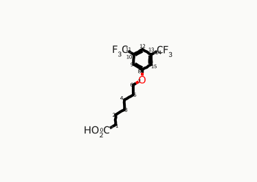 O=C(O)CCCCCCOc1cc(C(F)(F)F)cc(C(F)(F)F)c1